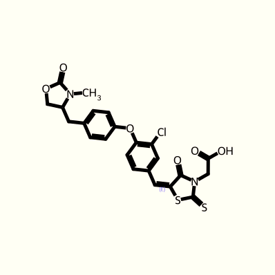 CN1C(=O)OCC1Cc1ccc(Oc2ccc(/C=C3/SC(=S)N(CC(=O)O)C3=O)cc2Cl)cc1